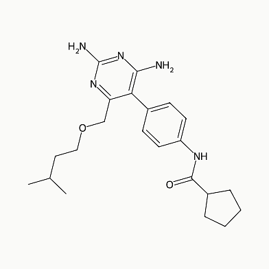 CC(C)CCOCc1nc(N)nc(N)c1-c1ccc(NC(=O)C2CCCC2)cc1